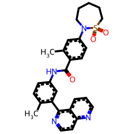 Cc1cc(N2CCCCCS2(=O)=O)ccc1C(=O)Nc1ccc(C)c(-c2nccc3ncccc23)c1